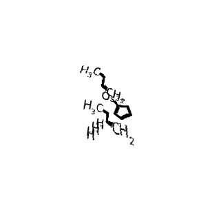 C=CCC.C=CCC.[H-].[H-].[H-].[Os+3][C]1=CC=CC1